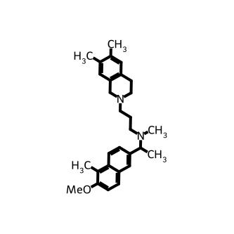 COc1ccc2cc(C(C)N(C)CCCN3CCc4cc(C)c(C)cc4C3)ccc2c1C